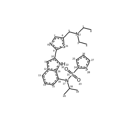 CCN(CC)Cc1cnc(-c2cc3cccc(N(C(C)C)S(=O)(=O)c4cccs4)c3[nH]2)s1